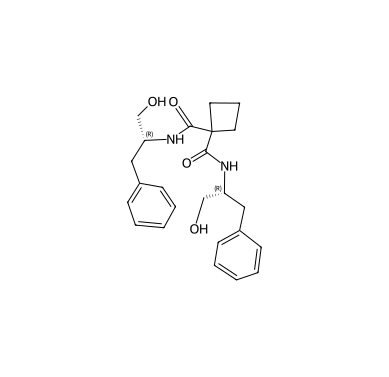 O=C(N[C@@H](CO)Cc1ccccc1)C1(C(=O)N[C@@H](CO)Cc2ccccc2)CCC1